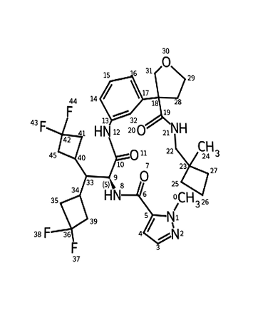 Cn1nccc1C(=O)N[C@H](C(=O)Nc1cccc(C2(C(=O)NCC3(C)CCC3)CCOC2)c1)C(C1CC(F)(F)C1)C1CC(F)(F)C1